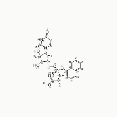 C=C1NC(=O)C=CN1[C@@H]1O[C@H](COP(=S)(NC(C)C(=O)OC)Oc2cccc3ccccc23)C(O)C1(C)O